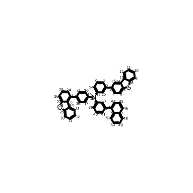 c1cc(-c2ccc3sc4ccccc4c3c2)cc(N(c2ccc(-c3cccc4oc5ccccc5c34)cc2)c2cccc(-c3cccc4ccccc34)c2)c1